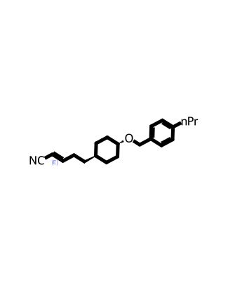 CCCc1ccc(CO[C@H]2CC[C@H](CC/C=C/C#N)CC2)cc1